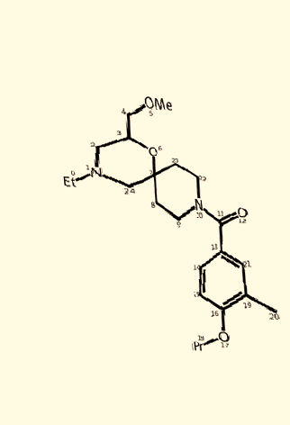 CCN1CC(COC)OC2(CCN(C(=O)c3ccc(OC(C)C)c(C)c3)CC2)C1